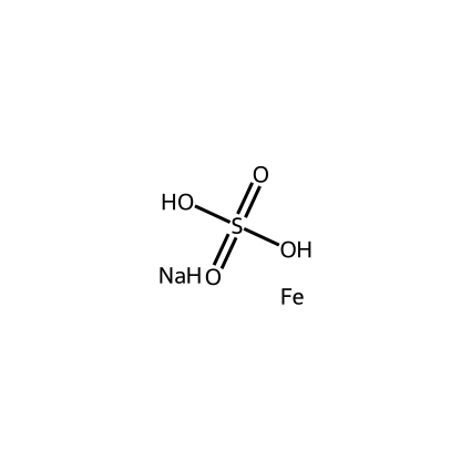 O=S(=O)(O)O.[Fe].[NaH]